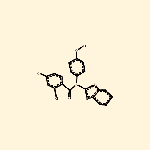 CCOc1ccc(N(C(=O)c2ccc(Cl)cc2Cl)c2nc3ccccc3s2)cc1